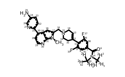 [2H]C([2H])([2H])N(C(=O)c1cc(F)c(C2=CCN(Cc3cc4c(-c5ccc(N)cn5)ccnc4n3C)CC2)c(F)c1)C([2H])([2H])[2H]